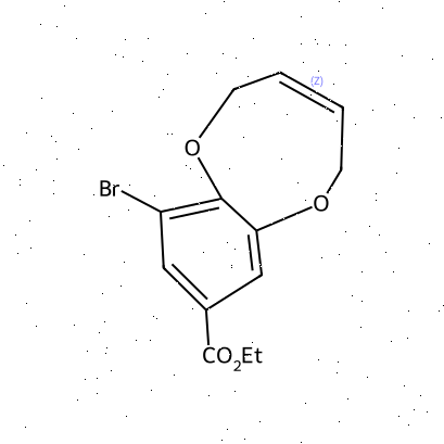 CCOC(=O)c1cc(Br)c2c(c1)OC/C=C\CO2